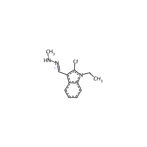 CCn1c(Cl)c(/C=N/NC)c2ccccc21